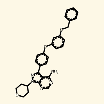 Nc1ncnc2c1c(-c1ccc(Oc3cccc(OCc4ccccc4)c3)cc1)nn2C1CCOCC1